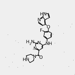 Nc1nc(Nc2ccc(Oc3ccnc4[nH]ccc34)c(F)c2)cc(C(=O)N2CCNCC2)n1